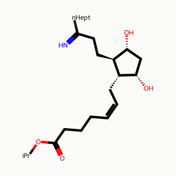 CCCCCCCC(=N)CC[C@@H]1[C@@H](C/C=C\CCCC(=O)OC(C)C)[C@@H](O)C[C@H]1O